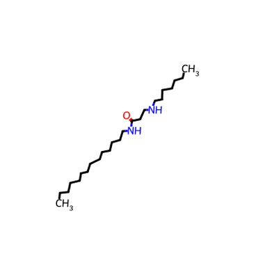 CCCCCCCCCCCCCCNC(=O)CCNCCCCCCC